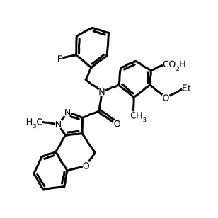 CCOc1c(C(=O)O)ccc(N(Cc2ccccc2F)C(=O)c2nn(C)c3c2COc2ccccc2-3)c1C